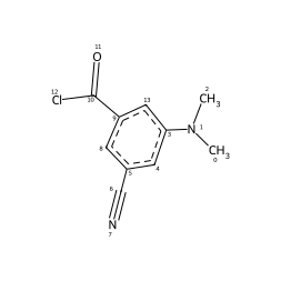 CN(C)c1cc(C#N)cc(C(=O)Cl)c1